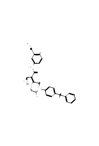 C[C@H]1Cn2ncc(C(=O)Nc3ccc(Br)c(C#N)c3)c2C(=O)N1c1ccc(C(F)(F)c2ccccc2)cc1